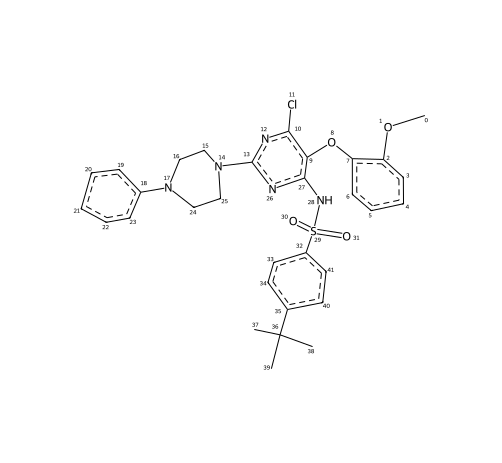 COc1ccccc1Oc1c(Cl)nc(N2CCN(c3ccccc3)CC2)nc1NS(=O)(=O)c1ccc(C(C)(C)C)cc1